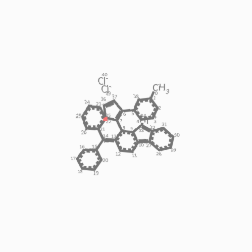 Cc1cccc(C2=C(c3c4c(ccc3=C(c3ccccc3)c3ccccc3)=c3ccccc3=[C]4[Hf+2])CC=C2)c1.[Cl-].[Cl-]